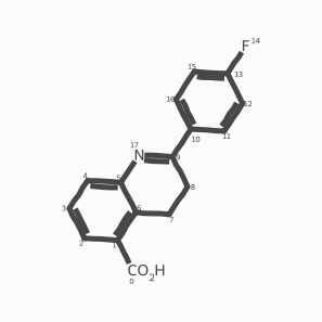 O=C(O)c1cccc2c1CCC(c1ccc(F)cc1)=N2